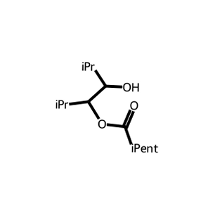 CCCC(C)C(=O)OC(C(C)C)C(O)C(C)C